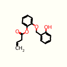 C=CCC(=O)Oc1ccccc1OCc1ccccc1O